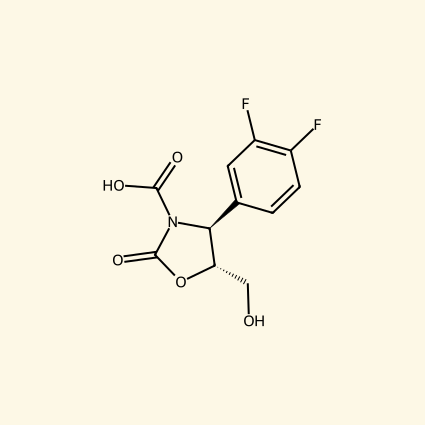 O=C(O)N1C(=O)O[C@@H](CO)[C@@H]1c1ccc(F)c(F)c1